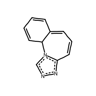 C1=CC2=CC=Cc3nncn3C2C=C1